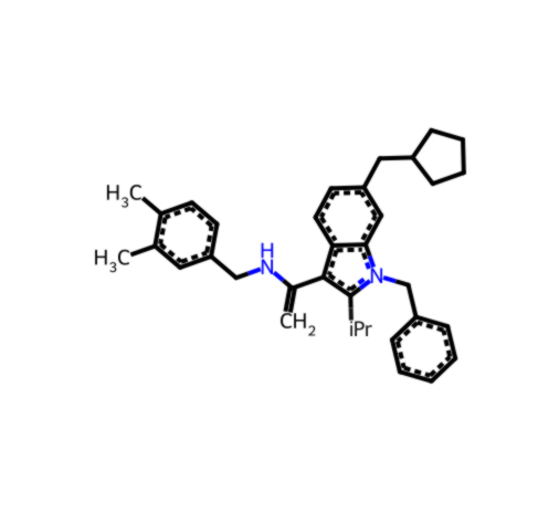 C=C(NCc1ccc(C)c(C)c1)c1c(C(C)C)n(Cc2ccccc2)c2cc(CC3CCCC3)ccc12